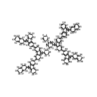 c1ccc(-c2nc(-c3cccc(-n4c5ccc(-c6ccc7c(c6)c6ccccc6n7-c6ccc7ccccc7c6)cc5c5cc(-c6ccc7c(c6)c6ccccc6n7-c6ccc7ccccc7c6)ccc54)c3)cc(-n3c4ccc(-c5ccc6c(c5)c5ccccc5n6-c5ccc6ccccc6c5)cc4c4cc(-c5ccc6c(c5)c5ccccc5n6-c5ccc6ccccc6c5)ccc43)n2)cc1